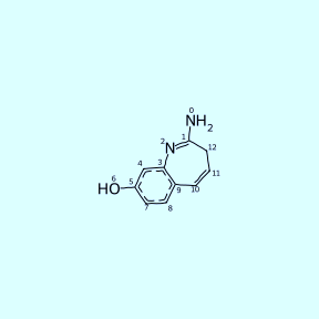 NC1=Nc2cc(O)ccc2C=CC1